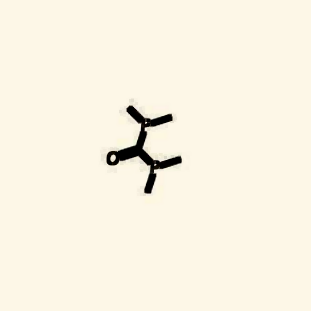 CP(C)C(=O)P(C)C